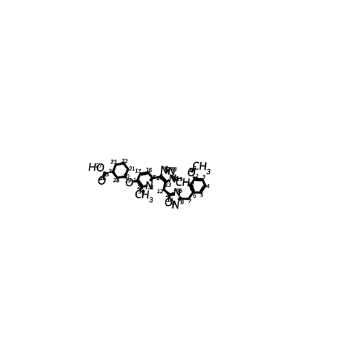 COc1cccc(Cc2noc(Cc3c(-c4ccc(O[C@H]5CCC[C@H](C(=O)O)C5)c(C)n4)nnn3C)n2)c1